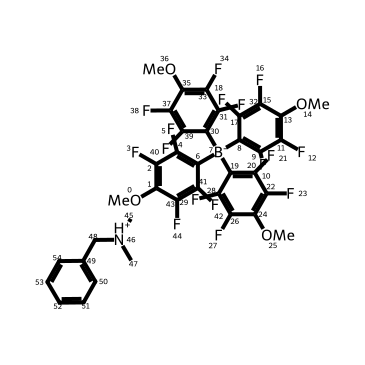 COc1c(F)c(F)c([B-](c2c(F)c(F)c(OC)c(F)c2F)(c2c(F)c(F)c(OC)c(F)c2F)c2c(F)c(F)c(OC)c(F)c2F)c(F)c1F.C[NH+](C)Cc1ccccc1